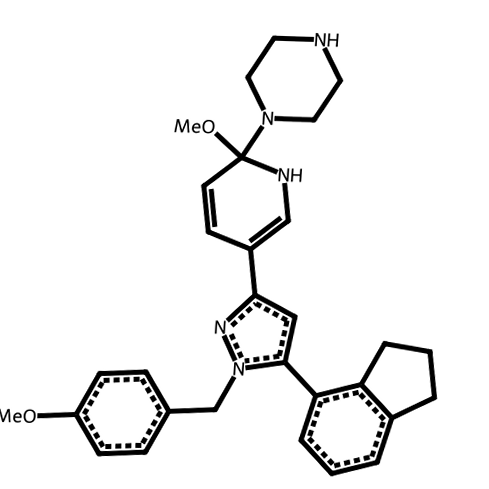 COc1ccc(Cn2nc(C3=CNC(OC)(N4CCNCC4)C=C3)cc2-c2cccc3c2CCC3)cc1